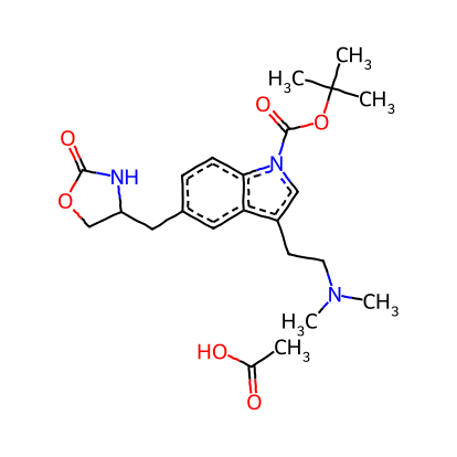 CC(=O)O.CN(C)CCc1cn(C(=O)OC(C)(C)C)c2ccc(CC3COC(=O)N3)cc12